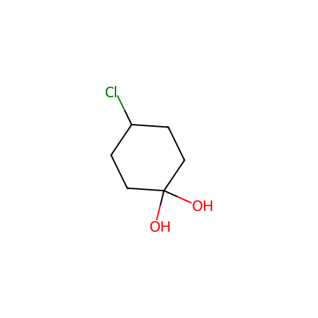 OC1(O)CCC(Cl)CC1